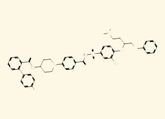 CN(C)CCC(CSc1ccccc1)Nc1ccc(S(=O)(=O)NC(=O)c2ccc(N3CCC(NC(=O)c4ccccc4-c4ccc(Cl)cc4)CC3)cc2)cc1[N+](=O)[O-]